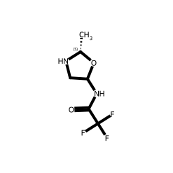 C[C@H]1NCC(NC(=O)C(F)(F)F)O1